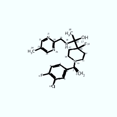 C=C(c1ccc(F)c(Cl)c1)N1CCC(F)(C(C)(O)NCc2ncc(C)cn2)CC1